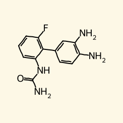 NC(=O)Nc1cccc(F)c1-c1ccc(N)c(N)c1